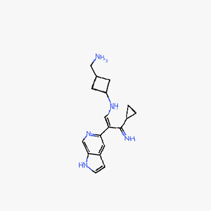 N=C(/C(=C\NC1CC(CN)C1)c1cc2cc[nH]c2cn1)C1CC1